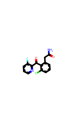 NC(=O)Cc1cccc(Cl)c1C(=O)c1ncccc1F